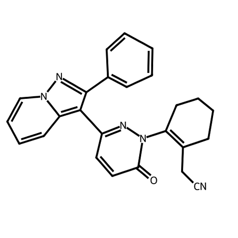 N#CCC1=C(n2nc(-c3c(-c4ccccc4)nn4ccccc34)ccc2=O)CCCC1